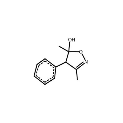 CC1=NOC(C)(O)C1c1ccccc1